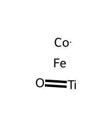 [Co].[Fe].[O]=[Ti]